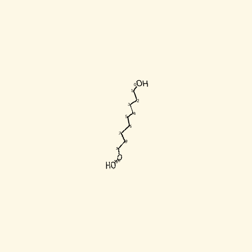 OCCCCCCCCCOO